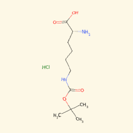 CC(C)(C)OC(=O)NCCCC[C@@H](N)C(=O)O.Cl